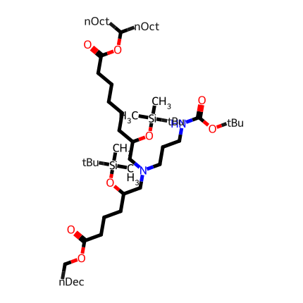 CCCCCCCCCCCOC(=O)CCCC(CN(CCCNC(=O)OC(C)(C)C)CC(CCCCCC(=O)OC(CCCCCCCC)CCCCCCCC)O[Si](C)(C)C(C)(C)C)O[Si](C)(C)C(C)(C)C